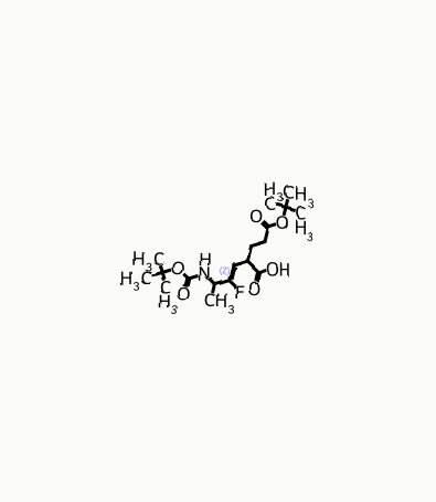 CC(NC(=O)OC(C)(C)C)/C(F)=C/C(CCC(=O)OC(C)(C)C)C(=O)O